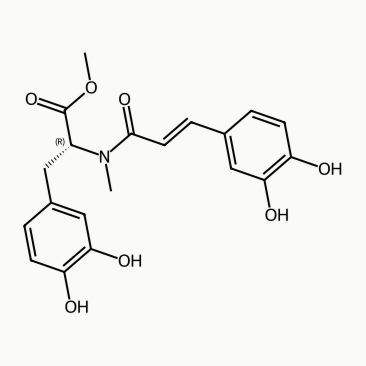 COC(=O)[C@@H](Cc1ccc(O)c(O)c1)N(C)C(=O)C=Cc1ccc(O)c(O)c1